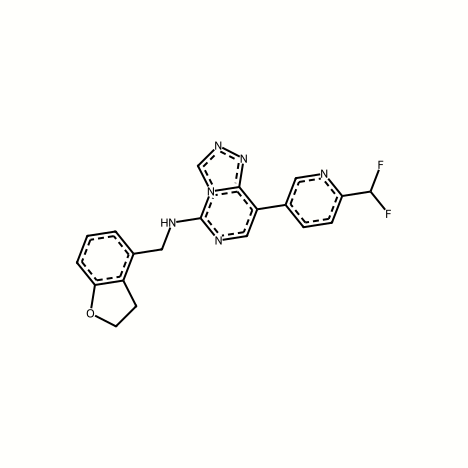 FC(F)c1ccc(-c2cnc(NCc3cccc4c3CCO4)n3cnnc23)cn1